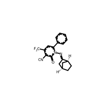 [C-]#[N+]c1c(C(F)(F)F)cc(-c2ccccc2)n(/N=C2\C[C@@H]3CC[C@H]2C3)c1=O